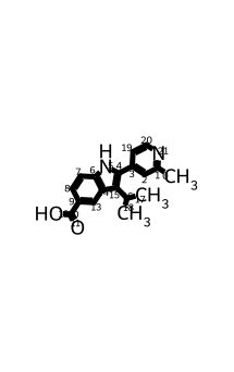 Cc1cc(-c2[nH]c3ccc(C(=O)O)cc3c2C(C)C)ccn1